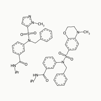 CC(C)NC(=O)c1cccc(N(Cc2ccccc2)S(=O)(=O)c2ccc3c(c2)OCCN3C)c1.CC(C)NC(=O)c1cccc(N(Cc2ccccc2)S(=O)(=O)c2ccnn2C)c1